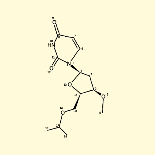 CO[C@@H]1C[C@H](n2ccc(=O)[nH]c2=O)O[C@@H]1COC(C)C